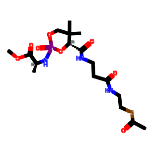 COC(=O)[C@H](C)NP1(=O)OCC(C)(C)[C@H](C(=O)NCCC(=O)NCCSC(C)=O)O1